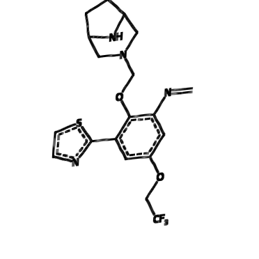 C=Nc1cc(OCC(F)(F)F)cc(-c2nccs2)c1OCN1CC2CCC(C1)N2